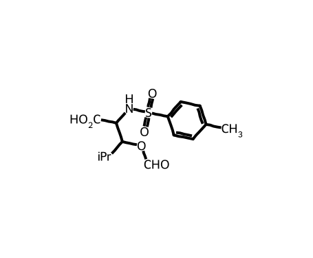 Cc1ccc(S(=O)(=O)NC(C(=O)O)C(OC=O)C(C)C)cc1